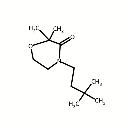 CC(C)(C)CCN1CCOC(C)(C)C1=O